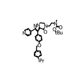 CC(C)c1ccc(COc2ccc(-c3c(-c4ccncc4)nn4c3C(=O)N(CCN(C)C(=O)OC(C)(C)C)CC4)cc2)cc1